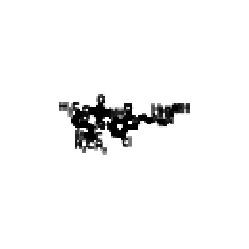 CCC(C)(C)[C@@H](Nc1c(Nc2ccc(Cl)c3c2C(=O)N(CCN/N=N\NO)C3)c(=O)c1=O)c1ccc(C)o1